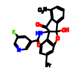 CC(C)c1ccc2c(c1)OC1(O)c3cccc([N+](=O)[O-])c3C(=O)C21NC(=O)c1cncc(F)c1